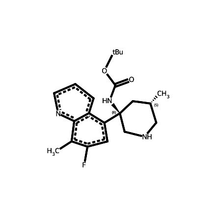 Cc1c(F)cc([C@@]2(NC(=O)OC(C)(C)C)CNC[C@@H](C)C2)c2cccnc12